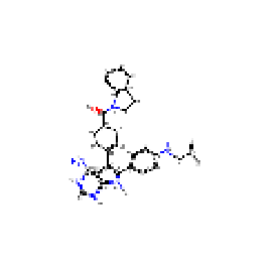 C=C(C)CNc1ccc(-c2c(C3=CC[C@H](C(=O)N4CCc5ccccc54)CC3)c3c(N)ncnc3n2C)cc1